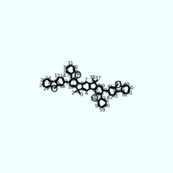 CC1(C)c2cc3c(cc2-c2c1cc(-c1ccc4c(c1)oc1ccccc14)c1c2oc2ccccc21)C(C)(C)c1cc(-c2ccc4c(c2)oc2ccccc24)c2c(oc4ccccc42)c1-3